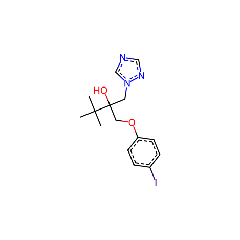 CC(C)(C)C(O)(COc1ccc(I)cc1)Cn1cncn1